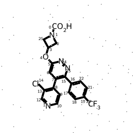 O=C(O)N1CC(Oc2cc(-c3ccncc3Cl)c(-c3ccc(C(F)(F)F)cc3)nn2)C1